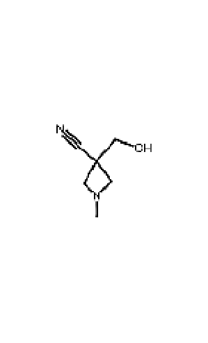 CN1CC(C#N)(CO)C1